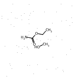 CCOC(N)=O.CO